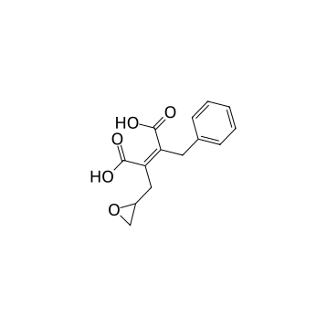 O=C(O)/C(Cc1ccccc1)=C(/CC1CO1)C(=O)O